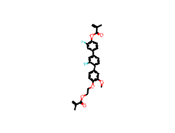 C=C(C)C(=O)OCCOc1ccc(-c2ccc(-c3ccc(OC(=O)C(=C)C)c(F)c3)cc2F)cc1OC